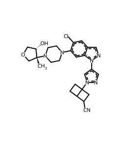 C[C@@]1(N2CCN(c3cc4c(cnn4-c4cnn(C56CCC5C(C#N)C6)c4)cc3Cl)CC2)COC[C@@H]1O